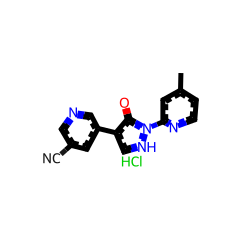 Cc1ccnc(-n2[nH]cc(-c3cncc(C#N)c3)c2=O)c1.Cl